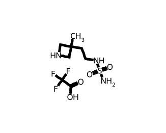 CC1(CCNS(N)(=O)=O)CNC1.O=C(O)C(F)(F)F